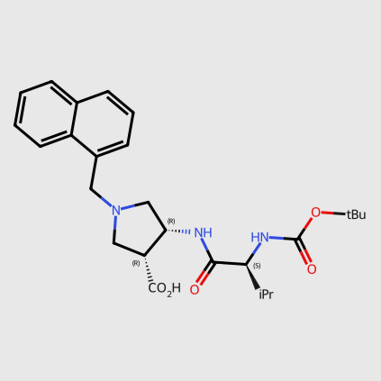 CC(C)[C@H](NC(=O)OC(C)(C)C)C(=O)N[C@H]1CN(Cc2cccc3ccccc23)C[C@H]1C(=O)O